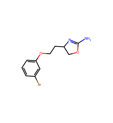 NC1=NC(CCOc2cccc(Br)c2)CO1